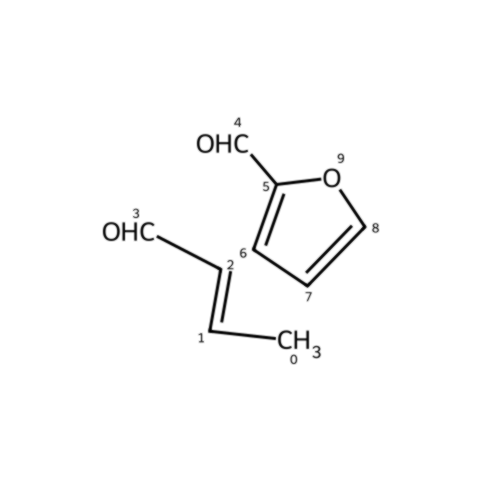 C/C=C/C=O.O=Cc1ccco1